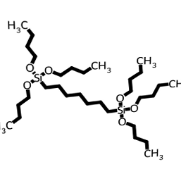 CCCCO[Si](CCCCCCC[Si](OCCCC)(OCCCC)OCCCC)(OCCCC)OCCCC